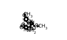 CCOC(=O)c1nnn(Cc2ccc(OC)cc2)c1C(=O)c1cc2c(cc1N)OCO2